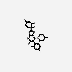 CC1CCN(c2c(-c3c(F)cc(F)cc3F)c(Cl)nc3nc(C4(F)C=CC(F)=CC4F)nn23)CC1